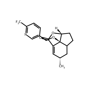 C[C@@H]1C=C2C(=O)O[C@@H]3CCC(C1)[C@]23OCc1ccc(C(F)(F)F)nc1